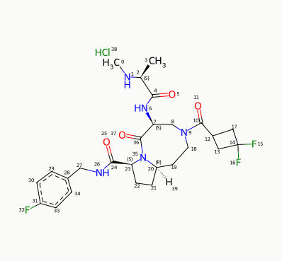 CN[C@@H](C)C(=O)N[C@H]1CN(C(=O)C2CC(F)(F)C2)CC[C@H]2CC[C@@H](C(=O)NCc3ccc(F)cc3)N2C1=O.Cl